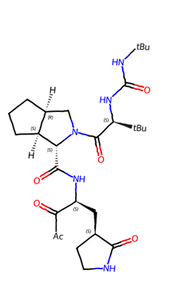 CC(=O)C(=O)[C@H](C[C@@H]1CCNC1=O)NC(=O)[C@@H]1[C@H]2CCC[C@H]2CN1C(=O)[C@@H](NC(=O)NC(C)(C)C)C(C)(C)C